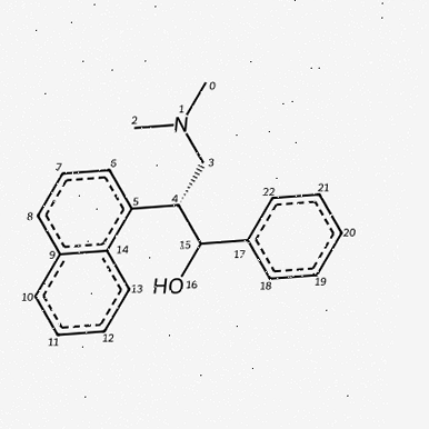 CN(C)C[C@@H](c1cccc2ccccc12)C(O)c1ccccc1